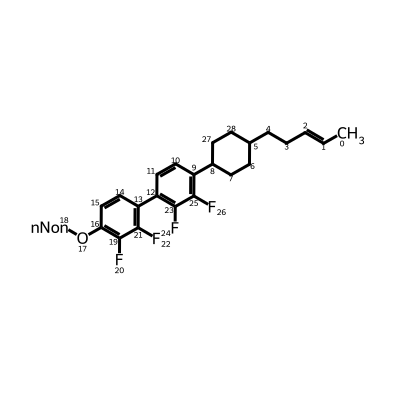 C/C=C/CCC1CCC(c2ccc(-c3ccc(OCCCCCCCCC)c(F)c3F)c(F)c2F)CC1